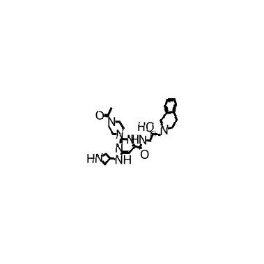 CC(=O)N1CCN(c2nc(NC3CNC3)cc(C(=O)NC[C@H](O)CN3CCc4ccccc4C3)n2)CC1